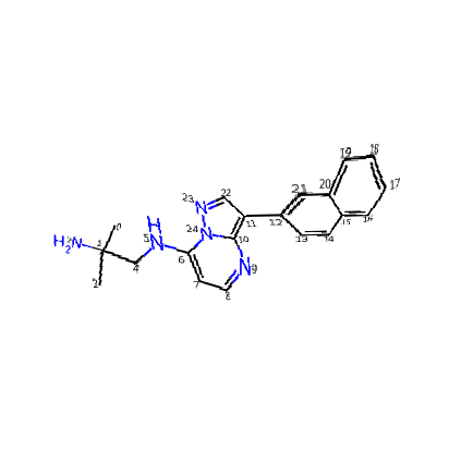 CC(C)(N)CNc1ccnc2c(-c3ccc4ccccc4c3)cnn12